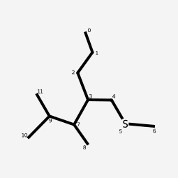 CCCC(CSC)C(C)C(C)C